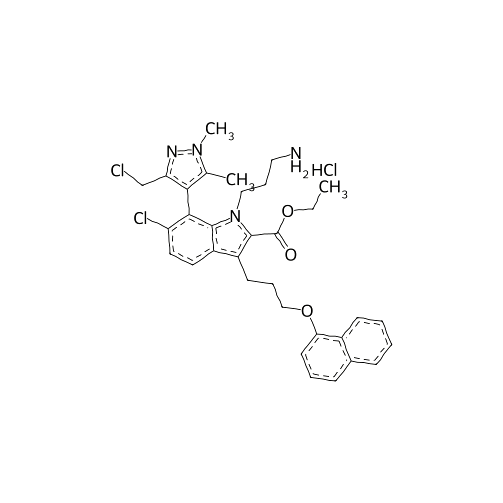 CCOC(=O)c1c(CCCOc2cccc3ccccc23)c2ccc(Cl)c(-c3c(CCl)nn(C)c3C)c2n1CCCN.Cl